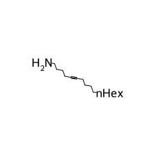 CCCCCCCCCCC#CCCCCN